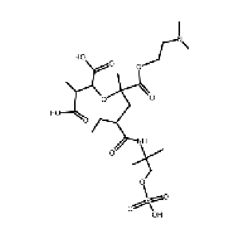 CCC(CC(C)(OC(C(=O)O)C(C)C(=O)O)C(=O)OCCN(C)C)C(=O)NC(C)(C)COS(=O)(=O)O